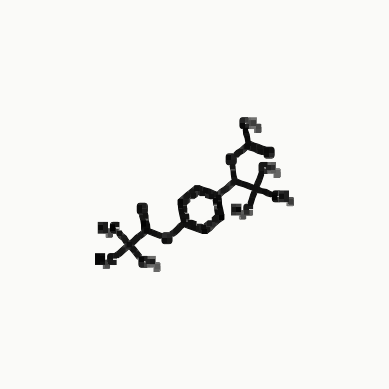 CC(=O)OC(c1ccc(OC(=O)C(C)(C)C)cc1)C(C)(C)C